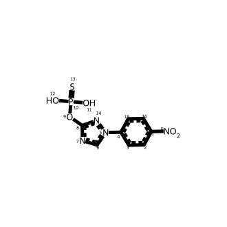 O=[N+]([O-])c1ccc(-n2cnc(OP(O)(O)=S)n2)cc1